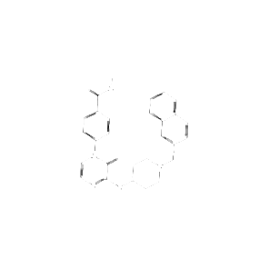 CCCNC(=O)c1ccc(-n2ccnc(NC3CCN(Cc4ccc5ccccc5c4)CC3)c2=O)cc1